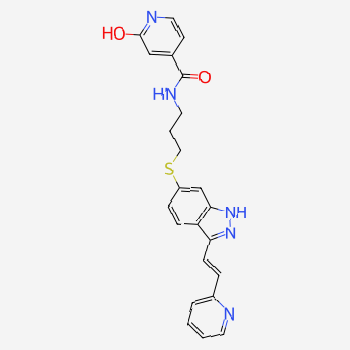 O=C(NCCCSc1ccc2c(C=Cc3ccccn3)n[nH]c2c1)c1ccnc(O)c1